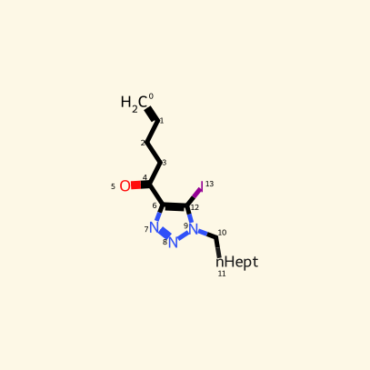 C=CCCC(=O)c1nnn(CCCCCCCC)c1I